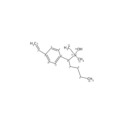 C=Cc1ccc(C(CCCC)[Si](C)(C)O)cc1